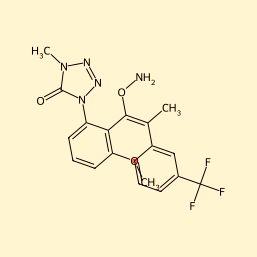 COc1cccc(-n2nnn(C)c2=O)c1/C(ON)=C(/C)c1cccc(C(F)(F)F)c1